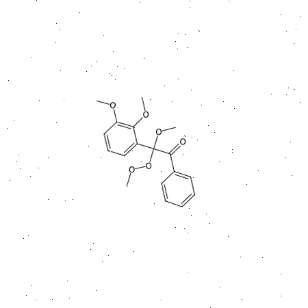 COOC(OC)(C(=O)c1ccccc1)c1cccc(OC)c1OC